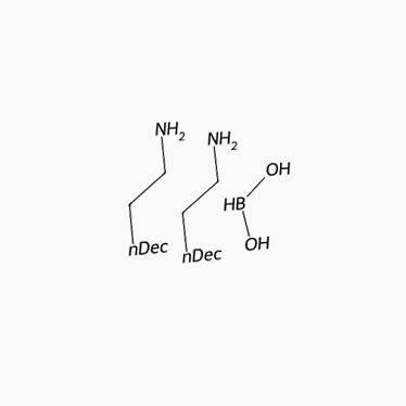 CCCCCCCCCCCCN.CCCCCCCCCCCCN.OBO